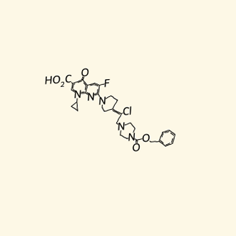 O=C(O)c1cn(C2CC2)c2nc(N3CCC(=C(Cl)CN4CCN(C(=O)OCc5ccccc5)CC4)CC3)c(F)cc2c1=O